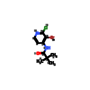 CC(C)(C)C(=O)Nc1ccnc(Cl)c1Br